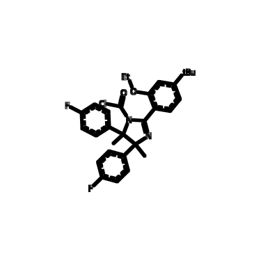 CCOc1cc(C(C)(C)C)ccc1C1=NC(C)(c2ccc(F)cc2)C(C)(c2ccc(F)cc2)N1C(=O)Cl